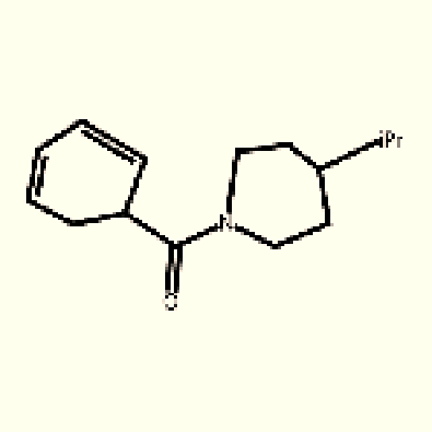 CC(C)C1CCN(C(=O)C2C=CC=CC2)CC1